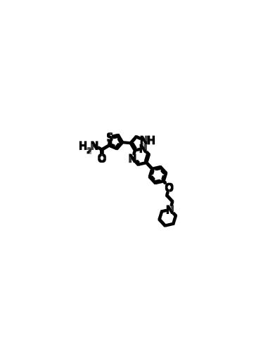 NC(=O)c1cc(C2=C3N=CC(c4ccc(OCCN5CCCCC5)cc4)=CN3NC2)cs1